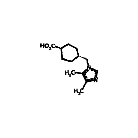 Cc1ncn(C[C@H]2CC[C@H](C(=O)O)CC2)c1C